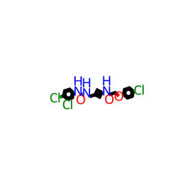 O=C(COc1ccc(Cl)cc1)NC12CC(CNC(=O)Nc3ccc(Cl)c(Cl)c3)(C1)C2